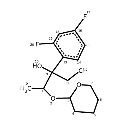 CC(OC1CCCCO1)C(O)(CCl)c1ccc(F)cc1F